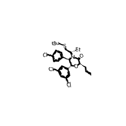 C=CC[C@H]1O[C@H](c2cc(Cl)cc(Cl)c2)[C@@H](c2ccc(Cl)cc2)N([C@@H](CC)CSC(C)(C)C)C1=O